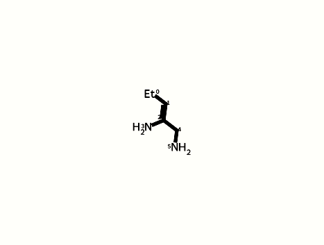 CCC=C(N)CN